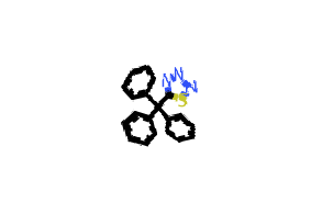 c1ccc(C(c2ccccc2)(c2ccccc2)c2nnns2)cc1